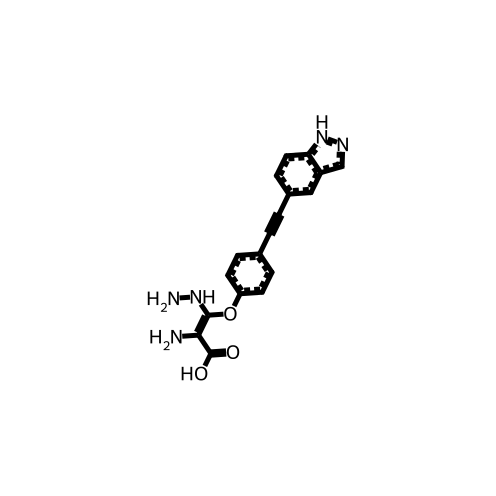 NN/C(Oc1ccc(C#Cc2ccc3[nH]ncc3c2)cc1)=C(\N)C(=O)O